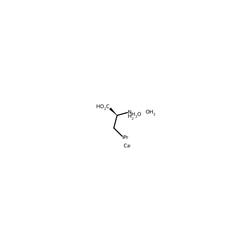 CC(C)C[C@H](N)C(=O)O.O.O.[Ca]